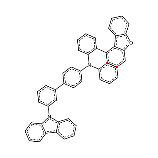 c1ccc(N(c2ccc(-c3cccc(-n4c5ccccc5c5ccccc54)c3)cc2)c2ccccc2-c2cccc3oc4ccccc4c23)cc1